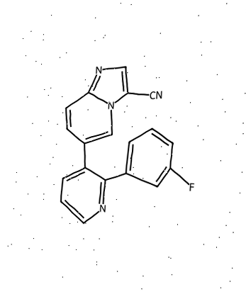 N#Cc1cnc2ccc(-c3cccnc3-c3cccc(F)c3)cn12